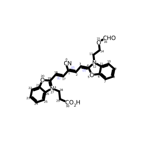 N#CC(=C\C=C1/Oc2ccccc2N1CCOC=O)/C=C/c1oc2ccccc2[n+]1CCC(=O)O